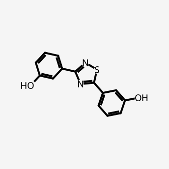 Oc1cccc(-c2nsc(-c3cccc(O)c3)n2)c1